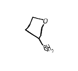 BC1CCO1